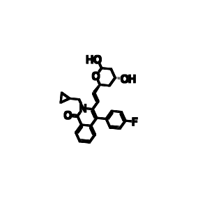 O=c1c2ccccc2c(-c2ccc(F)cc2)c(/C=C/[C@@H]2C[C@@H](O)CC(O)O2)n1CC1CC1